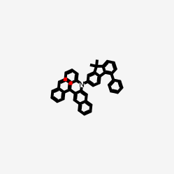 CC1(C)c2cc(N(c3ccccc3)c3cc4ccccc4cc3-c3cccc4ccccc34)ccc2-c2c(-c3ccccc3)cccc21